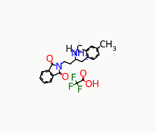 Cc1ccc(CC(N)CCN2C(=O)c3ccccc3C2=O)c(C)c1.O=C(O)C(F)(F)F